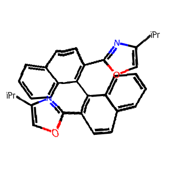 CC(C)c1coc(-c2ccc3ccccc3c2-c2c(-c3nc(C(C)C)co3)ccc3ccccc23)n1